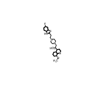 COc1cccc2c([C@@H](O)CN3CCN(CCc4nc5cc(F)ccc5[nH]4)CC3)ccnc12